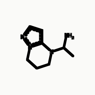 CC(N)N1CCCn2nccc21